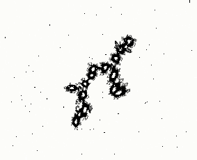 c1ccc(N(c2ccc(-c3ccc4c(-c5ccc(N(c6ccc(-c7ccc8ccccc8c7)cc6)c6ccc(-c7cnc8c(c7)sc7ccccc78)cc6)cc5)cccc4c3)cc2)c2ccc(-c3cncc4c3sc3ccccc34)cc2)cc1